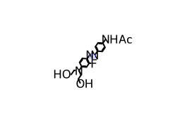 CC(=O)Nc1ccc(/N=N/c2ccc(N(CCO)CCO)cc2F)cc1